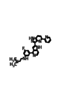 CN(C)CCNc1cc(F)cc(-c2nccc3[nH]c(-c4n[nH]c5ccc(-c6ccccn6)nc45)cc23)c1